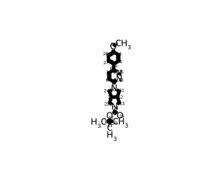 COc1ccc(-c2ccc(N3CC4CN(C(=O)OC(C)(C)C)CC4C3)nn2)cc1